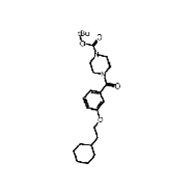 CC(C)(C)OC(=O)N1CCN(C(=O)c2cccc(OCCC3CCCCC3)c2)CC1